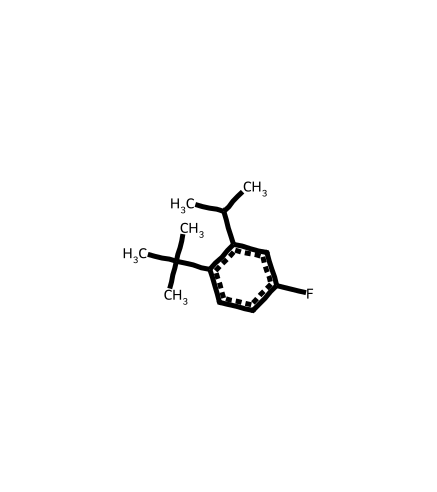 C[C](C)c1cc(F)ccc1C(C)(C)C